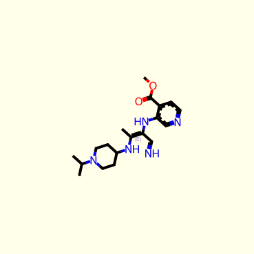 COC(=O)c1ccncc1N/C(C=N)=C(\C)NC1CCN(C(C)C)CC1